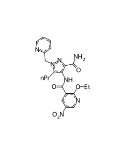 CCCc1c(NC(=O)c2cc([N+](=O)[O-])cnc2OCC)c(C(N)=O)nn1Cc1ccccn1